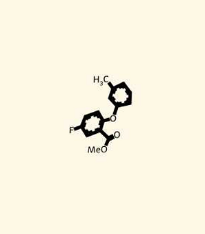 COC(=O)c1cc(F)ccc1Oc1cccc(C)c1